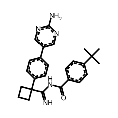 CC(C)(C)c1ccc(C(=O)NC(=N)C2(c3ccc(-c4cnc(N)nc4)cc3)CCC2)cc1